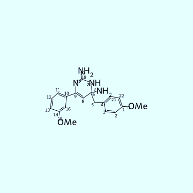 COc1ccc(CC2(N)C=C(c3cccc(OC)c3)N=C(N)N2)cc1